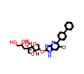 OCC(O)C[C@]1(O)CO[C@H]2[C@H]1OC[C@H]2Oc1nc2nc(-c3ccc(-c4ccccc4)cc3)c(Cl)cc2[nH]1